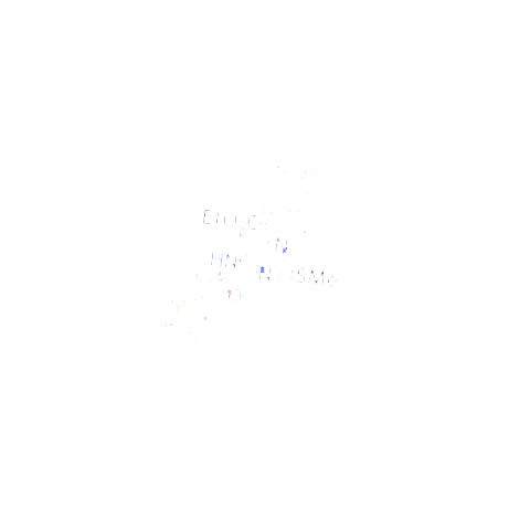 CCOC(=O)c1c(NC(=O)Cc2cccs2)nc(SC)n1Cc1ccccc1